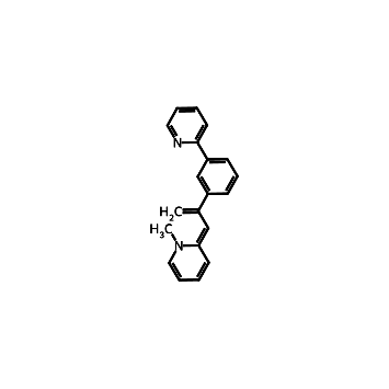 C=C(/C=C1/C=CC=CN1C)c1cccc(-c2ccccn2)c1